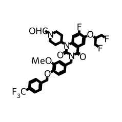 COc1cc(Cn2c(=O)c3cc(OC(CF)CF)c(F)cc3n(C3CCN(C=O)CC3)c2=O)ccc1OCc1ccc(C(F)(F)F)cc1